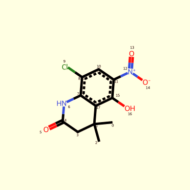 CC1(C)CC(=O)Nc2c(Cl)cc([N+](=O)[O-])c(O)c21